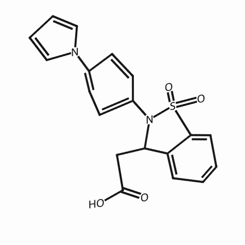 O=C(O)CC1c2ccccc2S(=O)(=O)N1c1ccc(-n2cccc2)cc1